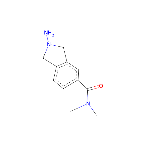 CN(C)C(=O)c1ccc2c(c1)CN(N)C2